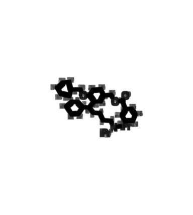 CC(C)N(CCCCC(c1ccccc1)c1cc(COC(=O)c2ccccc2)ccc1OCc1ccccc1)C(C)C